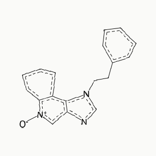 [O-][n+]1cc2ncn(CCc3ccccc3)c2c2ccccc21